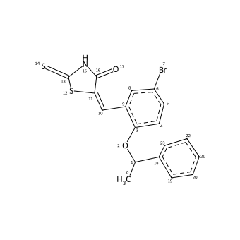 CC(Oc1ccc(Br)cc1C=C1SC(=S)NC1=O)c1ccccc1